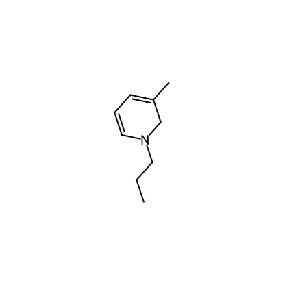 CCCN1C=CC=C(C)C1